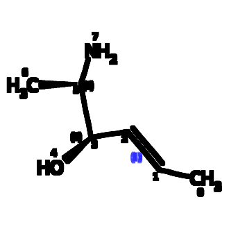 C/C=C/[C@@H](O)[C@H](C)N